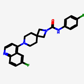 O=C(Nc1ccc(Br)cc1)N1CC2(CCN(c3ccnc4ccc(F)cc34)CC2)C1